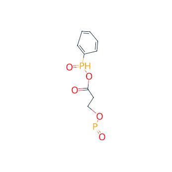 O=POCCC(=O)O[PH](=O)c1ccccc1